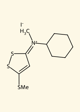 CSc1cc(=[N+](C)C2CCCCC2)ss1.[I-]